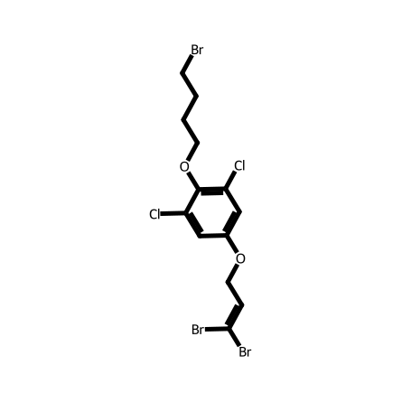 Clc1cc(OCC=C(Br)Br)cc(Cl)c1OCCCCBr